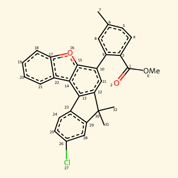 COC(=O)c1ccc(C)cc1-c1cc2c(c3c1oc1ccccc13)-c1ccc(Cl)cc1C2(C)C